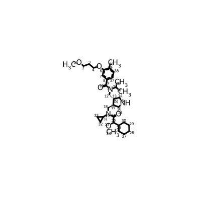 COCCCOc1cc(C(=O)N(C[C@@H]2CNC[C@H]2CN(C(=O)C(OC)C2CCCCC2)C2CC2)C(C)C)ccc1C